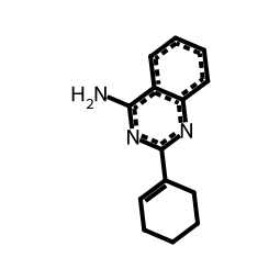 Nc1nc(C2=CCCCC2)nc2ccccc12